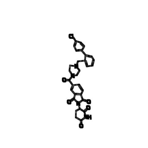 O=C1CCC(N2C(=O)c3ccc(C(=O)N4CCN(Cc5ccccc5-c5ccc(Cl)cc5)CC4)cc3C2=O)C(=O)N1